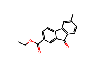 CCOC(=O)c1ccc2c(c1)C(=O)c1ccc(C)cc1-2